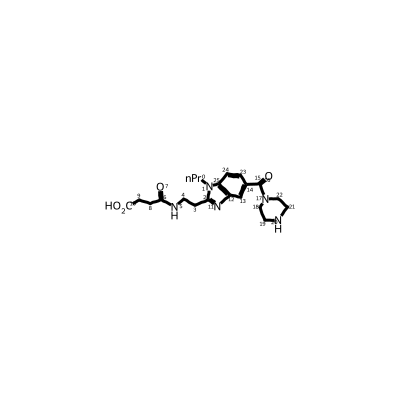 CCCn1c(CCNC(=O)CCC(=O)O)nc2cc(C(=O)N3CCNCC3)ccc21